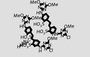 COc1nc(Cl)nc(Nc2ccc(C=Cc3ccc(Nc4nc(OC)nc(OC)n4)cc3S(=O)(=O)O)c(S(=O)(=O)O)c2)n1.COc1nc(Cl)nc(Nc2ccc(C=Cc3ccc(Nc4nc(OC)nc(OC)n4)cc3S(=O)(=O)O)c(S(=O)(=O)O)c2)n1.[H+].[H+].[Na+].[Na+]